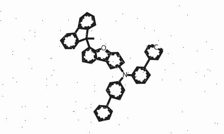 CC1(c2cccc3c2oc2ccc(N(c4ccc(-c5ccccc5)cc4)c4cccc(-c5ccccc5)c4)cc23)c2ccccc2-c2ccccc21